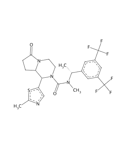 Cc1ncc(C2C3CCC(=O)N3CCN2C(=O)N(C)[C@H](C)c2cc(C(F)(F)F)cc(C(F)(F)F)c2)s1